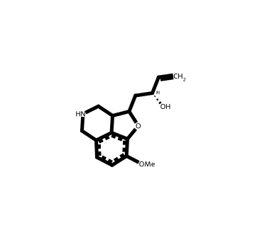 C=C[C@H](O)CC1Oc2c(OC)ccc3c2C1CNC3